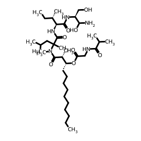 CCCCCCCCCC[C@@H](OC(=O)CNC(=O)C(C)C)[C@@H](C)C(=O)N(C)C(C)(CC(C)C)C(=O)N[C@H](C(=O)N[C@@H](CO)C(N)O)[C@@H](C)CC